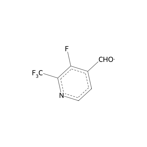 O=[C]c1ccnc(C(F)(F)F)c1F